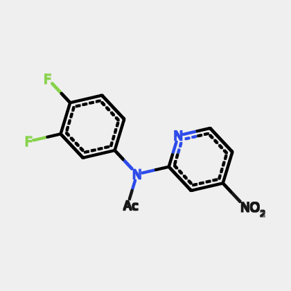 CC(=O)N(c1ccc(F)c(F)c1)c1cc([N+](=O)[O-])ccn1